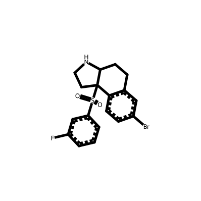 O=S(=O)(c1cccc(F)c1)C12CCNC1CCc1cc(Br)ccc12